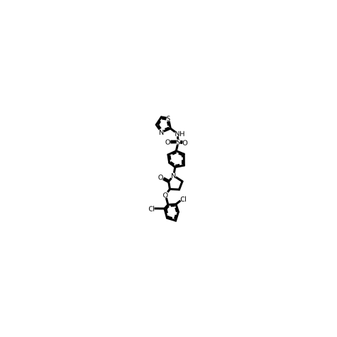 O=C1C(Oc2c(Cl)cccc2Cl)CCN1c1ccc(S(=O)(=O)Nc2nccs2)cc1